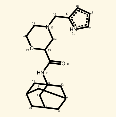 O=C(NC12CC3CC(CC(C3)C1)C2)C1CN(Cc2ccc[nH]2)CCO1